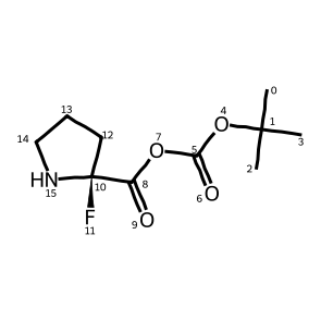 CC(C)(C)OC(=O)OC(=O)[C@@]1(F)CCCN1